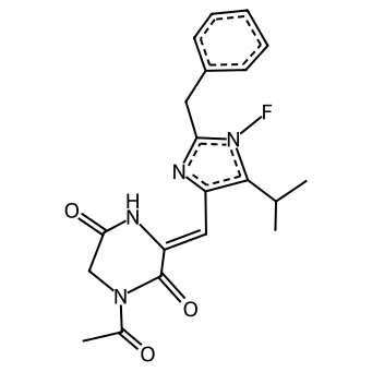 CC(=O)N1CC(=O)NC(=Cc2nc(Cc3ccccc3)n(F)c2C(C)C)C1=O